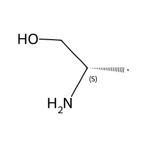 [CH2][C@H](N)CO